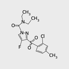 CCN(CC)C(=O)n1cc(F)c(S(=O)(=O)c2ccc(C)cc2Cl)n1